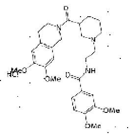 COc1ccc(C(=O)NCCN2CCCC(C(=O)N3CCc4cc(OC)c(OC)cc4C3)C2)cc1OC.Cl